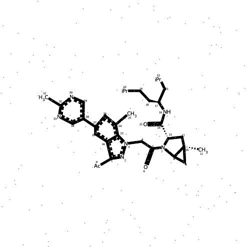 CC(=O)c1nn(CC(=O)N2C3C[C@]3(C)C[C@H]2C(=O)N[C@@H](CCC(C)C)CC(C)C)c2c(C)cc(-c3cnc(C)nc3)cc12